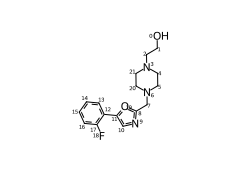 OCCN1CCN(Cc2ncc(-c3ccccc3F)o2)CC1